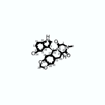 CN1CC(=O)N2[C@H](c3c[nH]c4ccc(Cl)cc34)c3cc4c(cc3C[C@H]2C1=O)OCO4